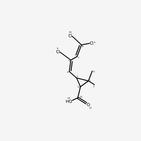 CC1(C)C(/C=C(/Cl)C=C(Cl)Cl)C1C(=O)O